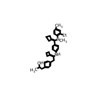 CCc1cc(C)ccc1N(C)C(=C1CCC1)c1ccc(NC(Cc2ccc(CC(C)O)cc2)=C2CCC2)cc1